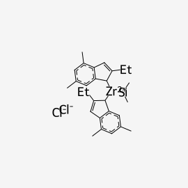 CCC1=Cc2c(C)cc(C)cc2[CH]1[Zr+2]([CH]1C(CC)=Cc2c(C)cc(C)cc21)=[Si](C)C.[Cl-].[Cl-]